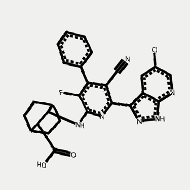 N#Cc1c(-c2n[nH]c3ncc(Cl)cc23)nc(NC2C3CCC(CC3)C2C(=O)O)c(F)c1-c1ccccc1